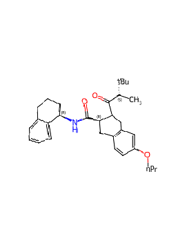 CCCOc1ccc2c(c1)CC(C(=O)[C@@H](C)C(C)(C)C)[C@H](C(=O)N[C@@H]1CCCc3ccccc31)C2